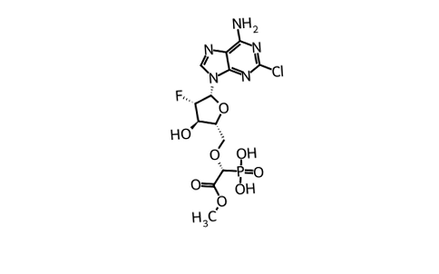 COC(=O)[C@H](OC[C@H]1O[C@@H](n2cnc3c(N)nc(Cl)nc32)[C@@H](F)[C@@H]1O)P(=O)(O)O